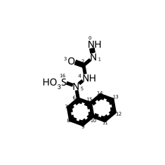 N=NC(=O)NN(c1cccc2ccccc12)S(=O)(=O)O